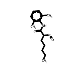 CCCCCC(N=O)C(=O)Nc1c(C)cccc1C